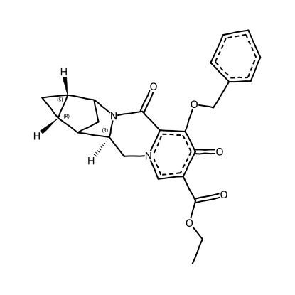 CCOC(=O)c1cn2c(c(OCc3ccccc3)c1=O)C(=O)N1C3CC([C@@H]4C[C@H]34)[C@@H]1C2